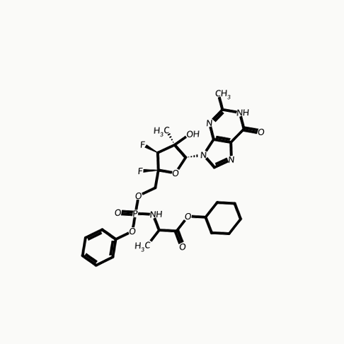 Cc1nc2c(ncn2[C@@H]2O[C@](F)(COP(=O)(NC(C)C(=O)OC3CCCCC3)Oc3ccccc3)[C@@H](F)[C@@]2(C)O)c(=O)[nH]1